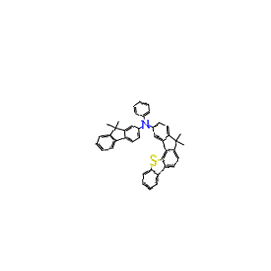 CC1(C)c2ccccc2-c2ccc(N(c3ccccc3)c3ccc4c(c3)-c3c(ccc5c3sc3ccccc35)C4(C)C)cc21